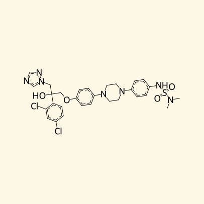 CN(C)S(=O)(=O)Nc1ccc(N2CCN(c3ccc(OCC(O)(Cn4cncn4)c4ccc(Cl)cc4Cl)cc3)CC2)cc1